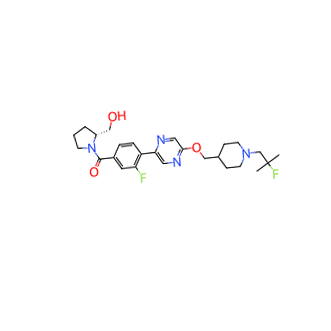 CC(C)(F)CN1CCC(COc2cnc(-c3ccc(C(=O)N4CCC[C@@H]4CO)cc3F)cn2)CC1